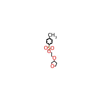 Cc1ccc(S(=O)(=O)OCCOC2CCOC2)cc1